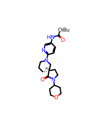 CC(C)COC(=O)Nc1ccc(N2CCC[C@@]3(CCN(C4CCOCC4)C3=O)C2)nc1